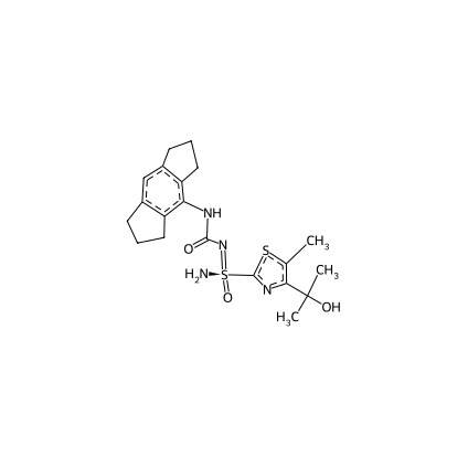 Cc1sc([S@](N)(=O)=NC(=O)Nc2c3c(cc4c2CCC4)CCC3)nc1C(C)(C)O